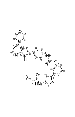 C=CC(=O)N[C@H]1CCN(c2cccc(CC(=O)Nc3ccc(-c4cc5c(N6CCOCC6)ncnc5[nH]4)cc3)c2)C1